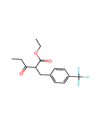 CCOC(=O)C(Cc1ccc(C(F)(F)F)cc1)C(=O)CC